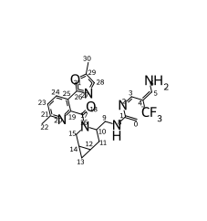 C=C(/N=C\C(=C/N)C(F)(F)F)NCC1CC2CC2CN1C(=O)c1nc(C)ccc1-c1ncc(C)o1